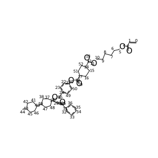 C=CC(=O)OCCCCCCOC(=O)C1CCC(C(=O)Oc2ccc(C(=O)OC3(C#Cc4ccccc4)CCC(C4CCC(C)CC4)CC3)cc2)CC1